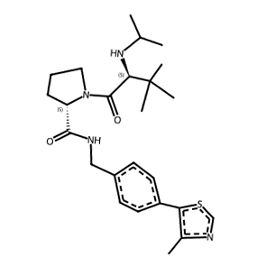 Cc1ncsc1-c1ccc(CNC(=O)[C@@H]2CCCN2C(=O)[C@@H](NC(C)C)C(C)(C)C)cc1